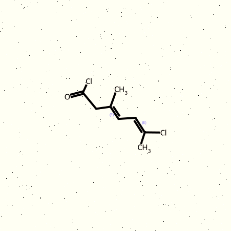 C/C(Cl)=C\C=C(/C)CC(=O)Cl